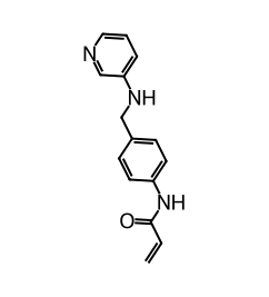 C=CC(=O)Nc1ccc(CNc2cccnc2)cc1